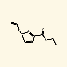 C=CCn1ccc(C(=O)OCC)n1